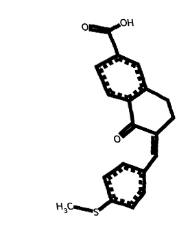 CSc1ccc(C=C2CCc3cc(C(=O)O)ccc3C2=O)cc1